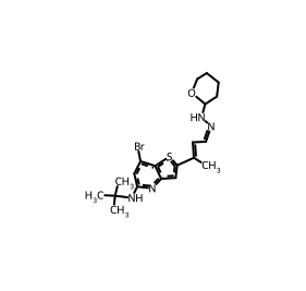 C/C(=C\C=N/NC1CCCCO1)c1cc2nc(NC(C)(C)C)cc(Br)c2s1